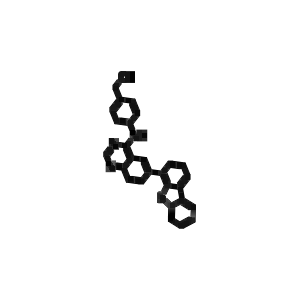 N#CCc1ccc(Nc2ncnc3ccc(-c4cccc5c4sc4ccccc45)cc23)cc1